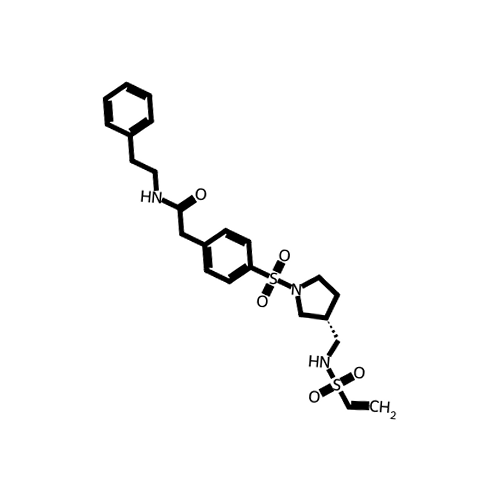 C=CS(=O)(=O)NC[C@H]1CCN(S(=O)(=O)c2ccc(CC(=O)NCCc3ccccc3)cc2)C1